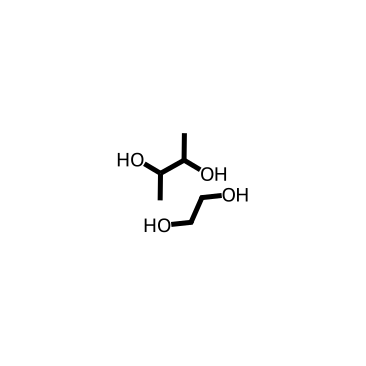 CC(O)C(C)O.OCCO